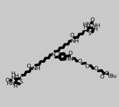 CC(C)(C)OC(=O)CCOCCOCCOCCNC(=O)c1ccc(CN(CCCCCCCNC(=O)CCCC[C@@H]2SC[C@@H]3NC(=O)N[C@@H]32)CCCCCCCNC(=O)CCCC[C@@H]2SC[C@@H]3NC(=O)N[C@@H]32)cc1